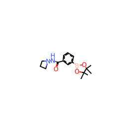 CC1(C)OB(c2cccc(C(=O)NN3CCC3)c2)OC1(C)C